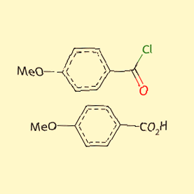 COc1ccc(C(=O)Cl)cc1.COc1ccc(C(=O)O)cc1